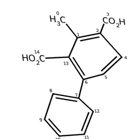 Cc1c(C(=O)O)ccc(-c2ccccc2)c1C(=O)O